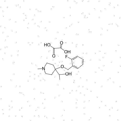 CC(O)C1(OCc2ccccc2F)CCN(C)CC1.O=C(O)C(=O)O